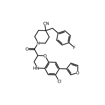 N#CC1(Cc2ccc(F)cc2)CCN(C(=O)C2CNc3cc(Cl)c(-c4ccoc4)cc3O2)CC1